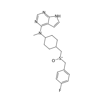 CN(c1ncnc2[nH]ccc12)C1CCC(C[S+]([O-])Cc2ccc(F)cc2)CC1